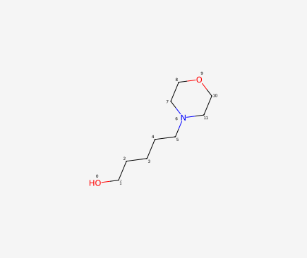 O[CH]CCCCN1CCOCC1